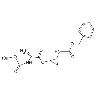 C=C(NC(=O)OC(C)(C)C)C(=O)OC1CC1NC(=O)OCc1ccccc1